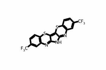 FC(F)(F)c1ccc2c(c1)N=c1[nH]c3c(c1S2)Sc1ccc(C(F)(F)F)cc1N=3